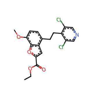 CCOC(=O)c1cc2c(CCc3c(Cl)cncc3Cl)ccc(OC)c2o1